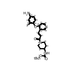 CC(C)(C)OC(=O)NC1CCN(C(=O)C=Cc2cnccc2Oc2ccc(N)cc2F)CC1